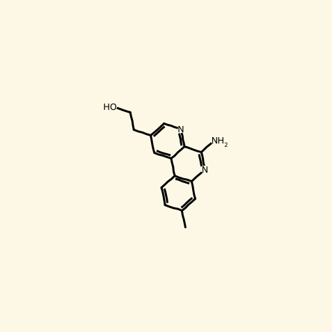 Cc1ccc2c(c1)nc(N)c1ncc(CCO)cc12